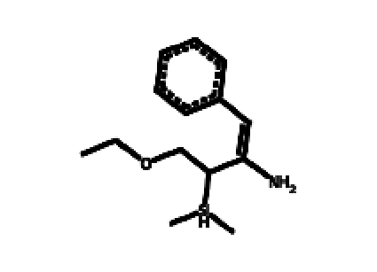 CCOCC(/C(N)=C\c1ccccc1)[SiH](C)C